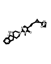 Cn1c(N2CCC3(CC2)Cc2ccccc2[C@H]3N)ncc(C#CC2CC2c2nnco2)c1=O